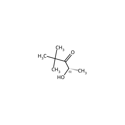 C[C@H](O)C(=O)C(C)(C)C